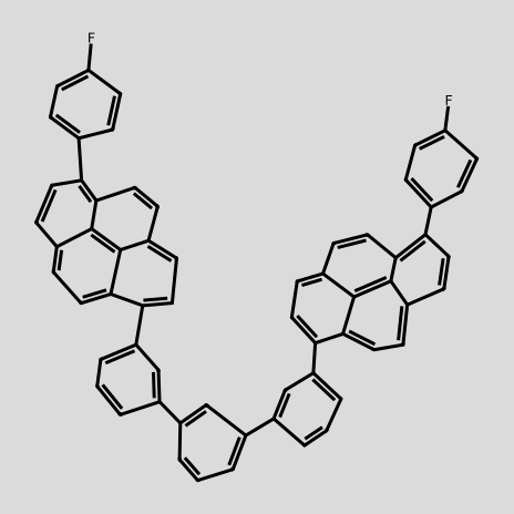 Fc1ccc(-c2ccc3ccc4c(-c5cccc(-c6cccc(-c7cccc(-c8ccc9ccc%10c(-c%11ccc(F)cc%11)ccc%11ccc8c9c%11%10)c7)c6)c5)ccc5ccc2c3c54)cc1